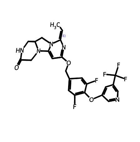 C/C=C1/N=C(OCc2cc(F)c(Oc3cncc(C(F)(F)F)c3)c(F)c2)C=C2N1CC1CNC(=O)CN21